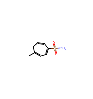 CC1=CC=C(S(N)(=O)=O)C=CC1